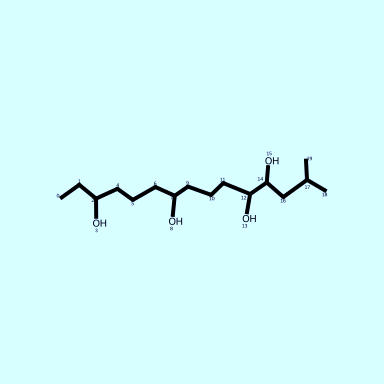 CCC(O)CCCC(O)CCCC(O)C(O)CC(C)C